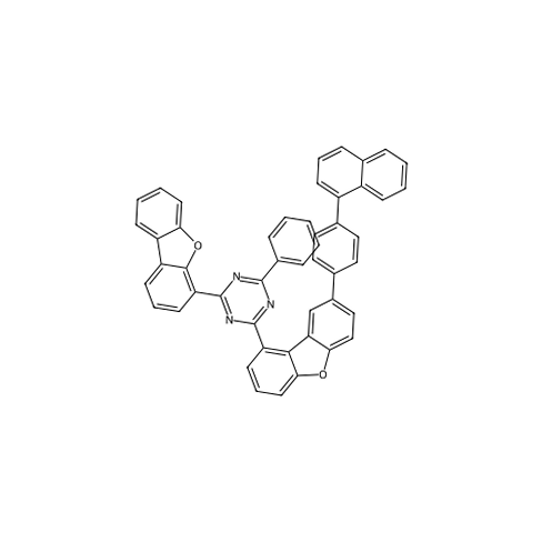 c1ccc(-c2nc(-c3cccc4c3oc3ccccc34)nc(-c3cccc4oc5ccc(-c6ccc(-c7cccc8ccccc78)cc6)cc5c34)n2)cc1